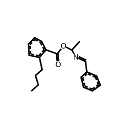 CCCCc1ccccc1C(=O)OC(C)N=Cc1ccccc1